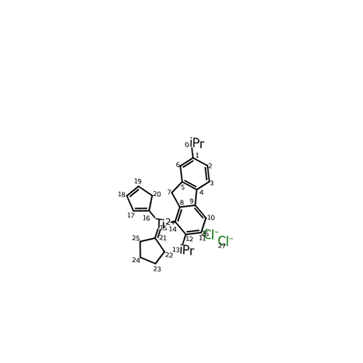 CC(C)c1ccc2c(c1)Cc1c-2ccc(C(C)C)[c]1[Ti+2]([C]1=CC=CC1)=[C]1CCCC1.[Cl-].[Cl-]